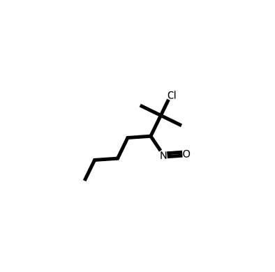 CCCCC(N=O)C(C)(C)Cl